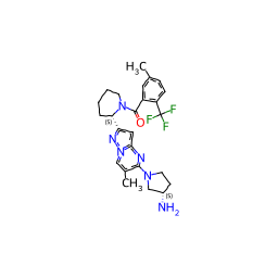 Cc1ccc(C(F)(F)F)c(C(=O)N2CCCC[C@H]2c2cc3nc(N4CC[C@H](N)C4)c(C)cn3n2)c1